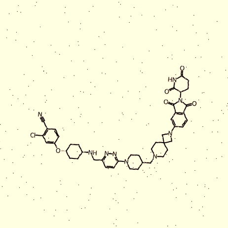 N#Cc1ccc(O[C@H]2CC[C@H](NCc3ccc(N4CCC(CN5CCC6(CC5)CN(c5ccc7c(c5)C(=O)N(C5CCC(=O)NC5=O)C7=O)C6)CC4)nn3)CC2)cc1Cl